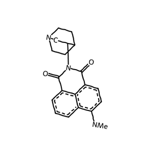 CNc1ccc2c3c(cccc13)C(=O)N(C1CN3CCC1CC3)C2=O